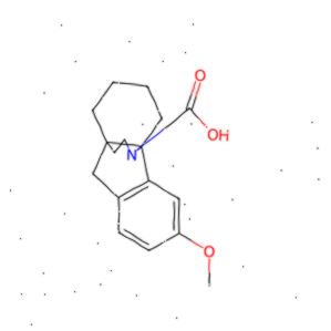 COc1ccc2c(c1)C13CCCCC1(CCN3C(=O)O)C2